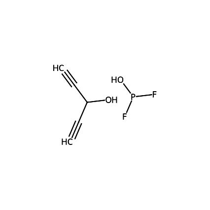 C#CC(O)C#C.OP(F)F